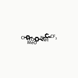 C\C=C/C(=C\C=C\C(F)(F)F)c1nc(-c2ccc(OCc3ccc(Cl)cn3)c(OC)c2)c[nH]1